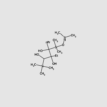 CCCC(O)(C(O)(CC)C(O)[Si](C)(C)C)[Si](C)(C)O[SiH](C)C